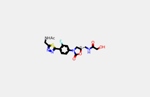 CC(=O)NCc1nnc(-c2ccc(N3C[C@H](CNC(=O)CO)OC3=O)cc2F)s1